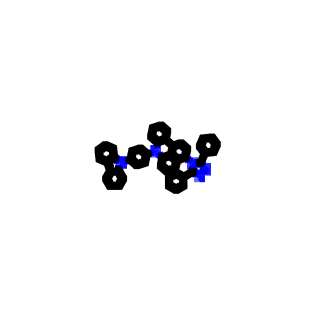 c1ccc(-c2nnc(-c3ccccc3)n2-c2ccc(-c3ccccc3N(c3ccccc3)c3ccc(-n4c5ccccc5c5ccccc54)cc3)cc2)cc1